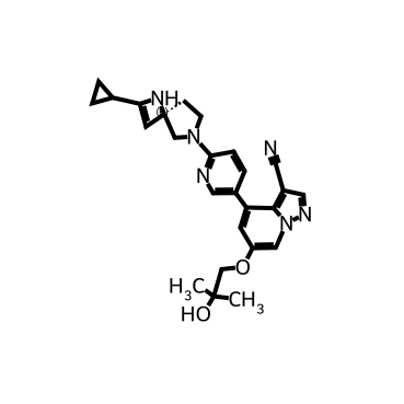 CC(C)(O)COc1cc(-c2ccc(N3CC[C@@]4(C=C(C5CC5)N4)C3)nc2)c2c(C#N)cnn2c1